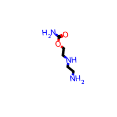 NCCNCCOC(N)=O